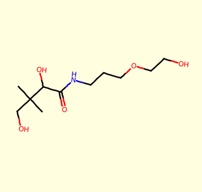 CC(C)(CO)C(O)C(=O)NCCCOCCO